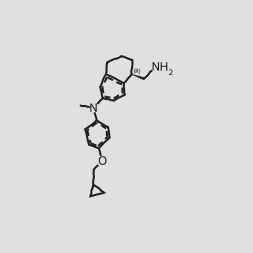 CN(c1ccc(OCC2CC2)cc1)c1ccc2c(c1)CCC[C@H]2CN